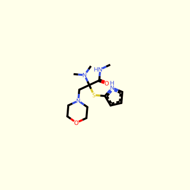 CNC(=O)C(CN1CCOCC1)(Sc1ccc[nH]1)N(C)C